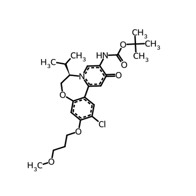 COCCCOc1cc2c(cc1Cl)-c1cc(=O)c(NC(=O)OC(C)(C)C)cn1[C@H](C(C)C)CO2